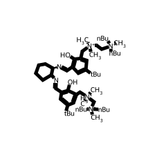 CCCC[N+](C)(CCCC)CC[N+](C)(C)Cc1cc(C(C)(C)C)cc(/C=N/[C@@H]2CCCCC2/N=C/c2cc(C(C)(C)C)cc(C[N+](C)(C)C[N+](C)(CCCC)CCCC)c2O)c1O